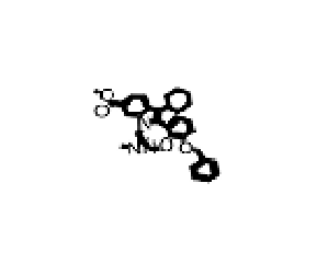 CN[C@H]1COc2c(OCc3ccccc3)cccc2-c2c(C3CCCCC3)c3ccc(C(=O)OC)cc3n2C1